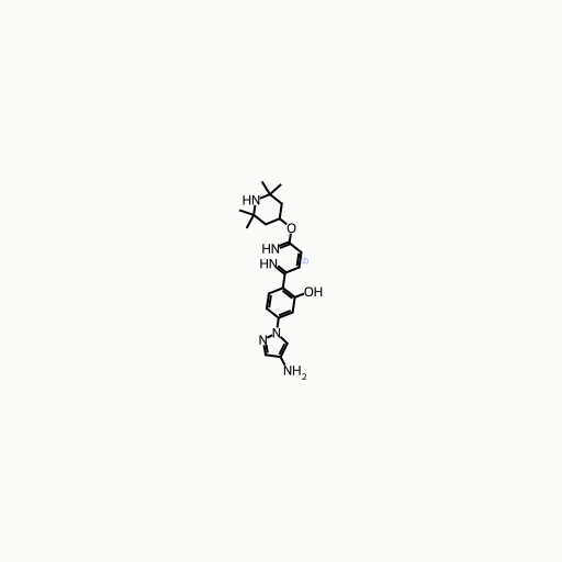 CC1(C)CC(OC(=N)/C=C\C(=N)c2ccc(-n3cc(N)cn3)cc2O)CC(C)(C)N1